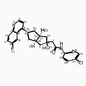 O=C(CC1(O)C[C@H]2C[C@@H](c3ccnc4ccc(F)cc34)C[C@H]2C1)Nc1ccc(Cl)cn1